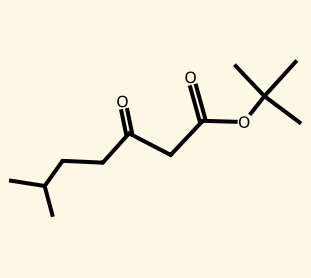 CC(C)CCC(=O)CC(=O)OC(C)(C)C